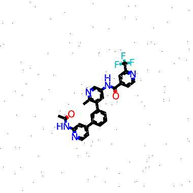 CC(=O)Nc1cc(-c2cccc(-c3cc(NC(=O)c4ccnc(C(F)(F)F)c4)cnc3C)c2)ccn1